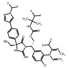 C=NN(/C(=N\C)C(F)F)c1cc([C@@H](COC(=O)NC(C)(C)C(F)F)N2C(=N)N[C@](CC(C)(C)C)(c3ccc(-c4cnn(C(F)F)c4)cc3)C2=O)ccc1Cl